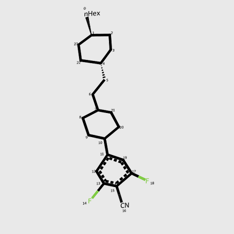 CCCCCC[C@H]1CC[C@H](CCC2CCC(c3cc(F)c(C#N)c(F)c3)CC2)CC1